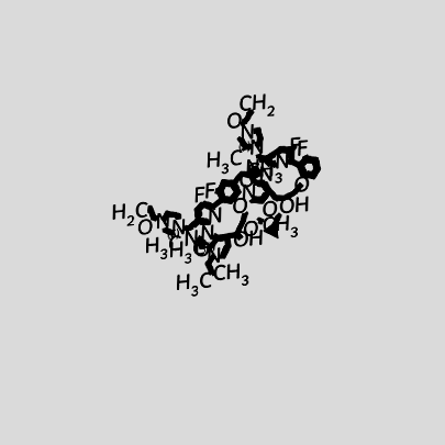 C=CC(=O)N1CCN(c2nc(=O)n3c4nc(c(F)cc24)-c2c(F)cc(CC(C)c4nccc5c4-n4c(=O)nc(N6CCN(C(=O)C=C)C[C@@H]6C)c6cc(F)c(nc64)-c4c(F)cccc4OCC(O)C5OCC4CC4)cc2OCC(OCC)C(O)C2=C3[C@@H](C)N(CC(C)C)C=C2)[C@@H](C)C1